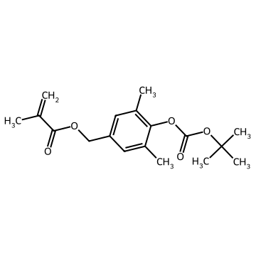 C=C(C)C(=O)OCc1cc(C)c(OC(=O)OC(C)(C)C)c(C)c1